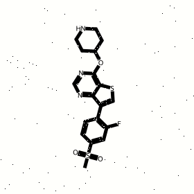 CS(=O)(=O)c1ccc(-c2csc3c(OC4CCNCC4)ncnc23)c(F)c1